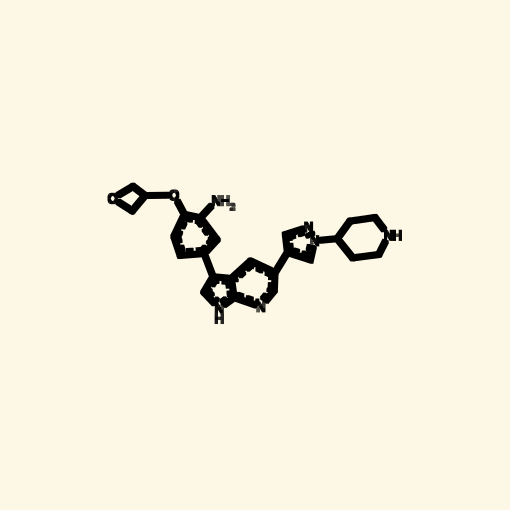 Nc1cc(-c2c[nH]c3ncc(-c4cnn(C5CCNCC5)c4)cc23)ccc1OC1COC1